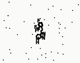 Fc1ccc(CCc2ncnc3c2CCNC3)c(C(F)(F)F)c1